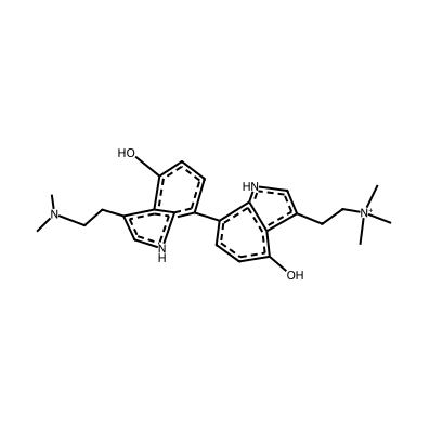 CN(C)CCc1c[nH]c2c(-c3ccc(O)c4c(CC[N+](C)(C)C)c[nH]c34)ccc(O)c12